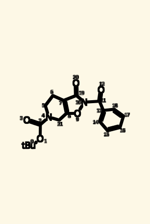 CC(C)(C)OC(=O)N1CCc2c(on(C(=O)c3ccccc3)c2=O)C1